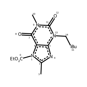 CCOC(=O)n1c(C)nc2c1c(=O)n(C)c(=O)n2CC(C)CC